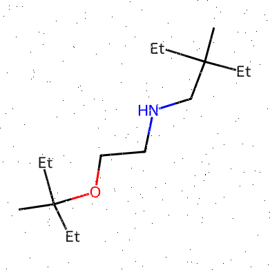 CCC(C)(CC)CNCCOC(C)(CC)CC